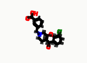 O=C(O)c1cccc(CN2CCc3c(oc4c(Cl)cccc4c3=O)C2)c1